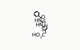 O=C(O)Cc1cnc(NC(=S)NC(=O)c2ccccc2)s1